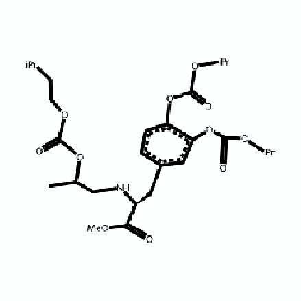 COC(=O)[C@H](Cc1ccc(OC(=O)OC(C)C)c(OC(=O)OC(C)C)c1)NCC(C)OC(=O)OCCC(C)C